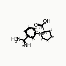 N=C(N)c1cccc(N2CCCC[C@@H]2C(=O)O)c1